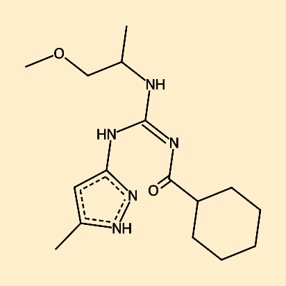 COCC(C)N/C(=N/C(=O)C1CCCCC1)Nc1cc(C)[nH]n1